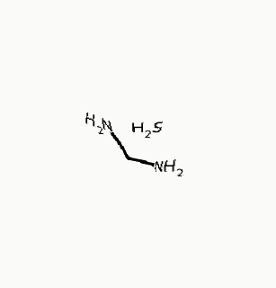 NCN.S